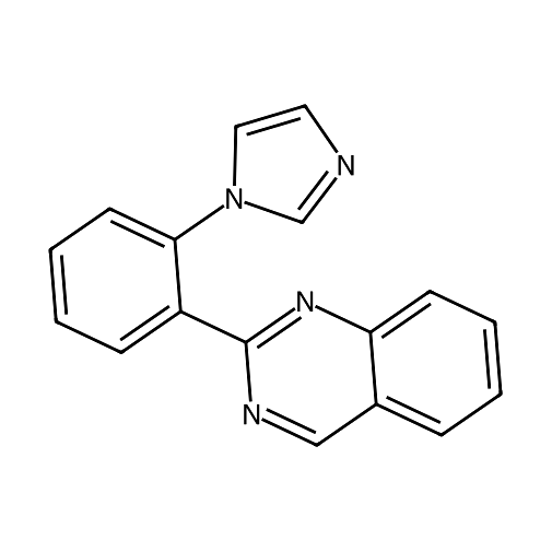 c1ccc(-n2ccnc2)c(-c2ncc3ccccc3n2)c1